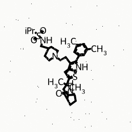 Cc1cc(C)cc(-c2[nH]c3sc(C(C)(C)CC4C5CCC4C(=O)N5)cc3c2CCN2CCC(CNS(=O)(=O)C(C)C)CC2)c1